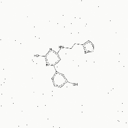 Oc1cccc(-c2cc(NCCc3cccs3)nc(O)n2)c1